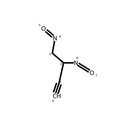 C#CC(CN=O)N=O